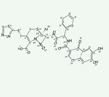 O=C(O)C1=C(CSc2nncs2)CS[C@H]2[C@H](NC(=O)C(NC(=O)c3coc4cc(O)c(O)cc4c3=O)c3ccccc3)C(=O)N12